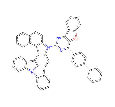 c1ccc(-c2ccc(-c3nc(-n4c5ccc6ccccc6c5c5c6c7ccccc7n7c8ccccc8c(cc54)c67)nc4c3oc3ccccc34)cc2)cc1